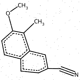 COc1ccc2ccc(C#N)cc2c1C